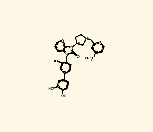 N#Cc1cc(-c2ccc(-n3c(=O)n([C@H]4CCN(Cc5cc(C(=O)O)ccn5)C4)c4ncccc43)c(O)c2)ccc1O